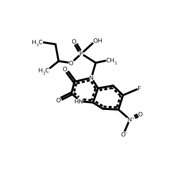 CCC(C)OP(=O)(O)C(C)n1c(=O)c(=O)[nH]c2cc([N+](=O)[O-])c(F)cc21